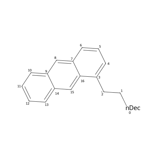 CCCCCCCCCCC[CH]c1cccc2cc3ccccc3cc12